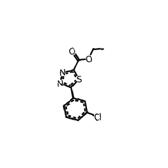 CCOC(=O)c1nnc(-c2cccc(Cl)c2)s1